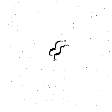 CCC/C=C/COC(C)=O.CCCC/C=C/CC(=O)O